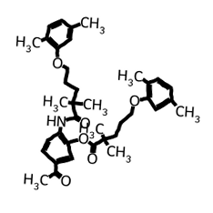 CC(=O)c1ccc(NC(=O)C(C)(C)CCCOc2cc(C)ccc2C)c(OC(=O)C(C)(C)CCCOc2cc(C)ccc2C)c1